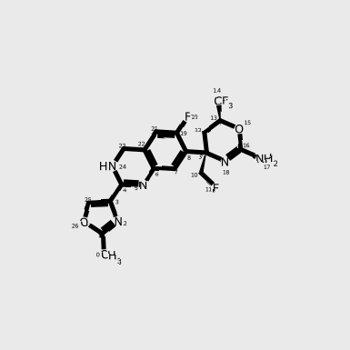 Cc1nc(C2=Nc3cc([C@]4(CF)C[C@@H](C(F)(F)F)OC(N)=N4)c(F)cc3CN2)co1